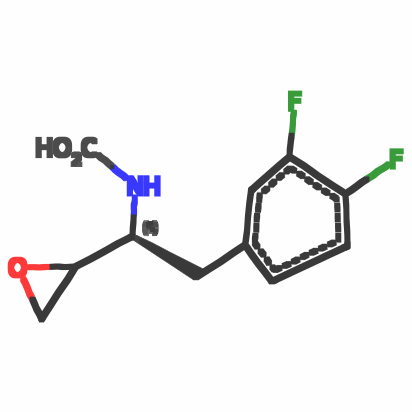 O=C(O)N[C@@H](Cc1ccc(F)c(F)c1)C1CO1